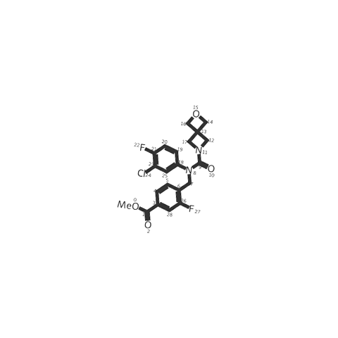 COC(=O)c1ccc(CN(C(=O)N2CC3(COC3)C2)c2ccc(F)c(Cl)c2)c(F)c1